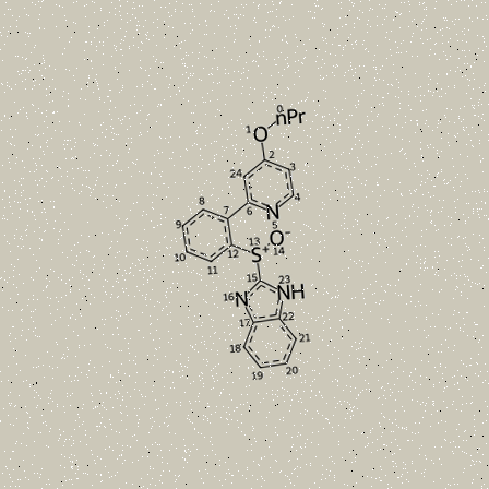 CCCOc1ccnc(-c2ccccc2[S+]([O-])c2nc3ccccc3[nH]2)c1